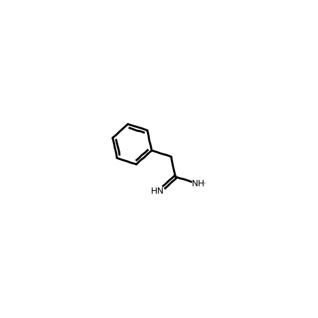 [NH]C(=N)Cc1ccccc1